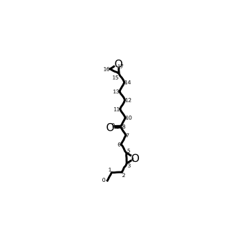 CCCC1OC1CCC(=O)CCCCCC1CO1